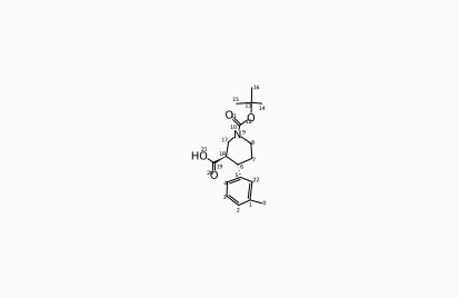 Cc1cccc([C@H]2CCN(C(=O)OC(C)(C)C)C[C@@H]2C(=O)O)c1